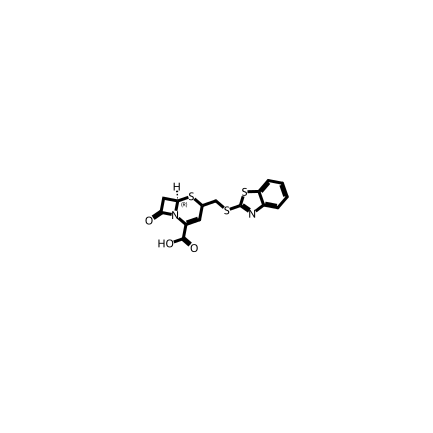 O=C(O)C1=CC(CSc2nc3ccccc3s2)S[C@@H]2CC(=O)N12